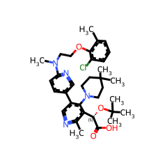 Cc1cccc(Cl)c1OCCN(C)c1ccc(-c2cnc(C)c([C@H](OC(C)(C)C)C(=O)O)c2N2CCC(C)(C)CC2)cn1